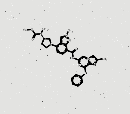 Cc1cn2cc(NC(=O)c3ccc(N4CC[C@@H](N(C)C(=O)OC(C)(C)C)C4)c4cn(C)nc34)nc(Oc3ccccc3)c2n1